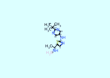 BNC(C)c1cnc(Nc2cnc(C(C)(C)C)nc2)s1